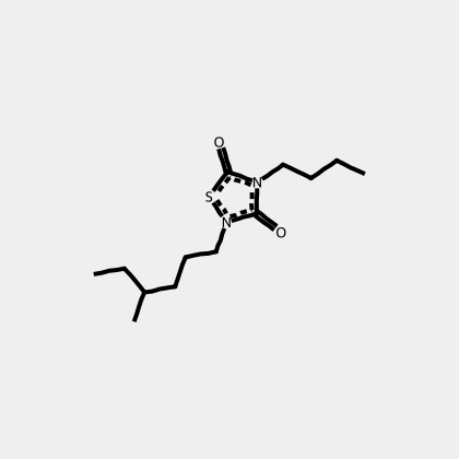 CCCCn1c(=O)sn(CCCC(C)CC)c1=O